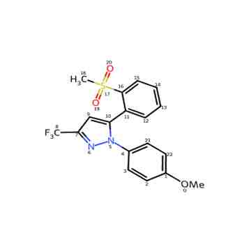 COc1ccc(-n2nc(C(F)(F)F)cc2-c2ccccc2S(C)(=O)=O)cc1